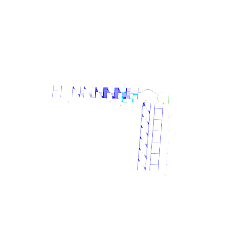 ClCCl.N.N.N.N.N.N.N.N.N.N.N